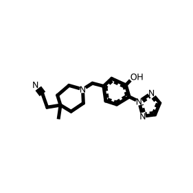 CC1(CC#N)CCN(Cc2ccc(-n3nccn3)c(O)c2)CC1